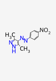 Cc1n[nH]c(C)c1N=Nc1ccc([N+](=O)[O-])cc1